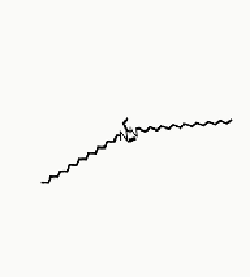 CCCCCCCCCCCCCCCCCN1C=CN(CCCCCCCCCCCCCCCCC)C1CC